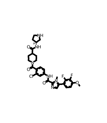 COc1ccc(-c2cnc(C(=O)Nc3ccc(C(=O)N4CCC(C(=O)N[C@@H]5CCNC5)CC4)c(Cl)c3)n2C)c(F)c1F